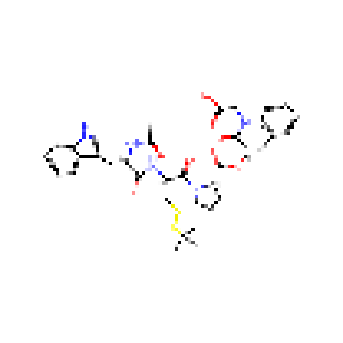 CC(=O)N[C@@H](Cc1c[nH]c2ccccc12)C(=O)N[C@@H](CSSC(C)(C)C)C(=O)N1CCC[C@H]1C(=O)O[C@@H](Cc1ccccc1)C(=O)N[C@@H](C)C(=O)O